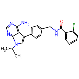 CC(C)n1cc(-c2ccc(CNC(=O)c3ccccc3F)cc2)c2c(N)ncnc21